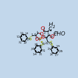 C=CC(=O)OCC(CSc1ccccc1)OP(OC(COC=O)CSc1ccccc1)Sc1ccccc1